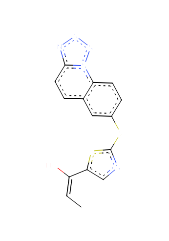 C/C=C(/O)c1cnc(Sc2ccc3c(ccc4nnnn43)c2)s1